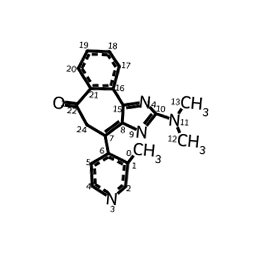 Cc1cnccc1C1=C2N=C(N(C)C)N=C2c2ccccc2C(=O)C1